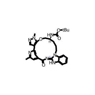 Cc1cc2cc(n1)-c1cnn(C)c1OC[C@@H](NC(=O)OC(C)(C)C)CCCN1/C(=N/C2=O)Nc2ccccc21